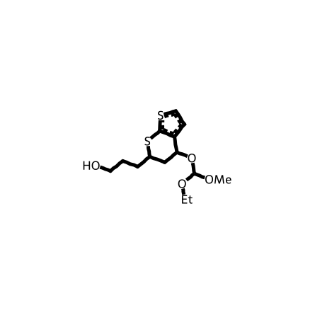 CCOC(OC)OC1CC(CCCO)Sc2sccc21